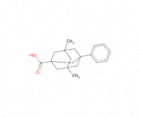 CC12CC3(C)CC(C(=O)O)(C1)CC(c1ccccc1)(C2)C3